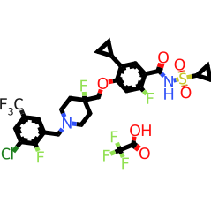 O=C(NS(=O)(=O)C1CC1)c1cc(C2CC2)c(OCC2(F)CCN(Cc3cc(C(F)(F)F)cc(Cl)c3F)CC2)cc1F.O=C(O)C(F)(F)F